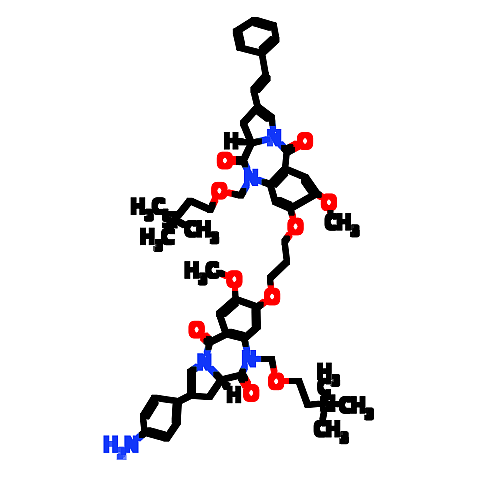 COc1cc2c(cc1OCCCOc1cc3c(cc1OC)C(=O)N1C=C(c4ccc(N)cc4)C[C@H]1C(=O)N3COCC[Si](C)(C)C)N(COCC[Si](C)(C)C)C(=O)[C@@H]1CC(C=Cc3ccccc3)=CN1C2=O